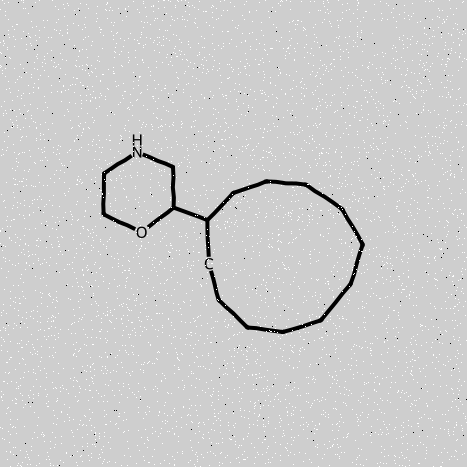 C1CCCCCC(C2CNCCO2)CCCCC1